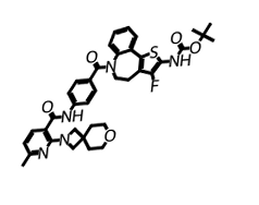 Cc1ccc(C(=O)Nc2ccc(C(=O)N3CCc4c(sc(NC(=O)OC(C)(C)C)c4F)-c4ccccc43)cc2)c(N2CC3(CCOCC3)C2)n1